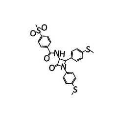 CSc1ccc(C2C(NC(=O)c3ccc(S(C)(=O)=O)cc3)C(=O)N2c2ccc(SC)cc2)cc1